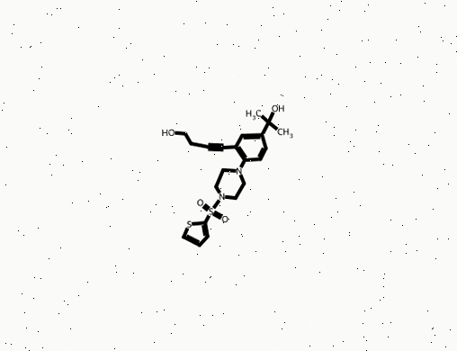 CC(C)(O)c1ccc(N2CCN(S(=O)(=O)c3cccs3)CC2)c(C#CCCO)c1